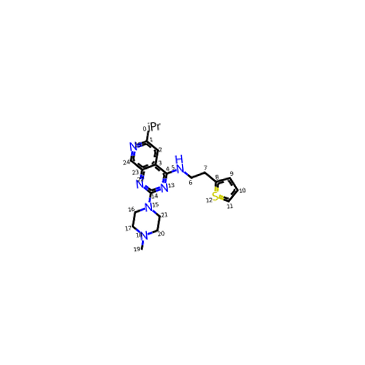 CC(C)c1cc2c(NCCc3cccs3)nc(N3CCN(C)CC3)nc2cn1